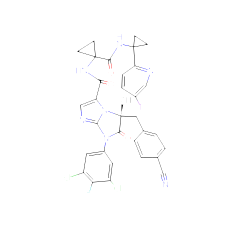 C[C@@]1(Cc2ccc(C#N)cc2)C(=O)N(c2cc(Cl)c(F)c(Cl)c2)c2ncc(C(=O)NC3(C(=O)NC4(c5ccc(I)cn5)CC4)CC3)n21